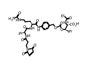 CCC(=O)N[C@H](C(=O)O)[C@H](OC(=O)OCc1ccc(NC(=O)[C@H](CCCNC(N)=O)NC(=O)[C@@H](NC(=O)CCN2C(=O)C=CC2=O)C(C)C)cc1)C(C)C